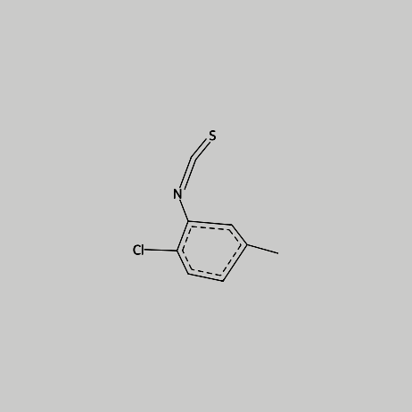 Cc1ccc(Cl)c(N=C=S)c1